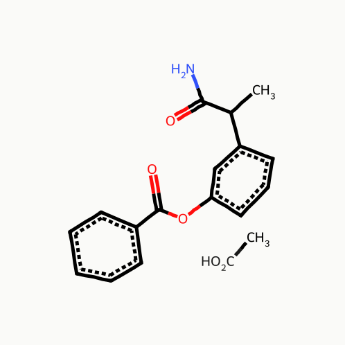 CC(=O)O.CC(C(N)=O)c1cccc(OC(=O)c2ccccc2)c1